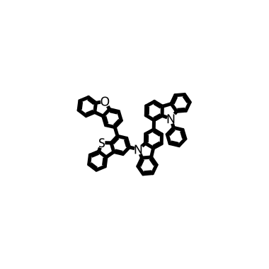 c1ccc(-n2c3ccccc3c3cccc(-c4ccc5c6ccccc6n(-c6cc(-c7ccc8oc9ccccc9c8c7)c7sc8ccccc8c7c6)c5c4)c32)cc1